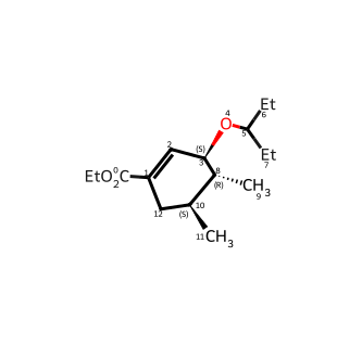 CCOC(=O)C1=C[C@@H](OC(CC)CC)[C@H](C)[C@@H](C)C1